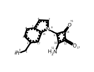 CC(C)Cc1ccc2ccn(-c3c(N)c(=O)c3=O)c2c1